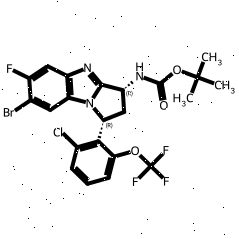 CC(C)(C)OC(=O)N[C@@H]1C[C@H](c2c(Cl)cccc2OC(F)(F)F)n2c1nc1cc(F)c(Br)cc12